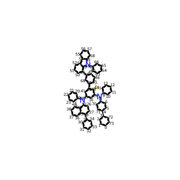 c1ccc(-c2ccc(N(c3ccccc3)c3cc(N(c4ccccc4)c4ccc(-c5ccccc5)c5ccccc45)cc4c3sc3ccc(-c5cccc6c7ccccc7n(-c7ccccc7)c56)cc34)cc2)cc1